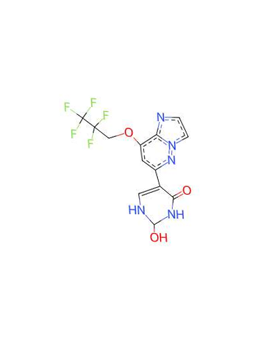 O=C1NC(O)NC=C1c1cc(OCC(F)(F)C(F)(F)F)c2nccn2n1